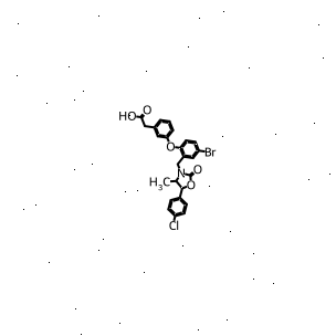 CC1C(c2ccc(Cl)cc2)OC(=O)N1Cc1cc(Br)ccc1Oc1cccc(CC(=O)O)c1